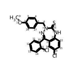 COc1ccc(CN2N=C(c3ccccc3Cl)c3cc(Cl)ccc3NC2=S)cc1